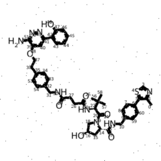 Cc1ncsc1-c1ccc(CNC(=O)[C@@H]2C[C@@H](O)CN2C(=O)[C@@H](NC(=O)CCC(=O)NCc2ccc(CCOc3cc(-c4ccccc4O)nnc3N)cc2)C(C)(C)C)cc1